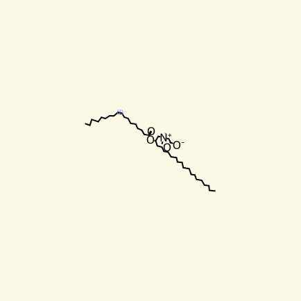 CCCCCCCC/C=C\CCCCCCCC(=O)OC(CCCCCCCCCCCCCCCCCC)C[N+](C)(C)CC(=O)[O-]